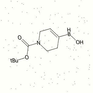 CC(C)(C)OC(=O)N1CC=C(BO)CC1